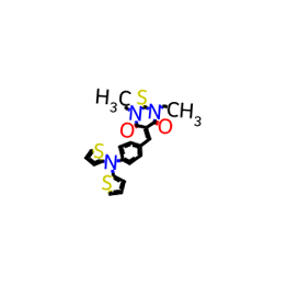 CCN1C(=O)C(=Cc2ccc(N(c3cccs3)c3cccs3)cc2)C(=O)N(CC)C1=S